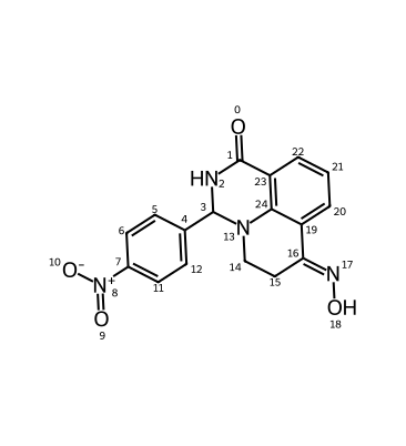 O=C1NC(c2ccc([N+](=O)[O-])cc2)N2CC/C(=N\O)c3cccc1c32